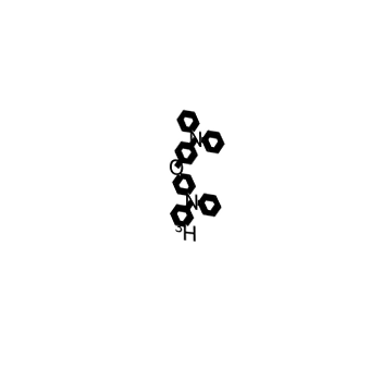 [3H]c1cccc(N(c2ccccc2)c2ccc(Oc3ccc(N(c4ccccc4)c4ccccc4)cc3)cc2)c1